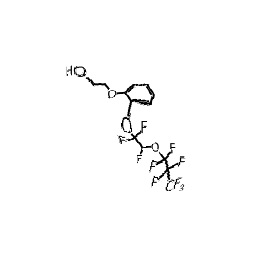 OCCOc1ccccc1OC(F)(F)C(F)OC(F)(F)C(F)(F)C(F)(F)F